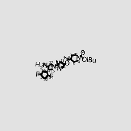 CC(C)COC(=O)N1CCC([C@H](C)Oc2cnc(N3C[C@H](C4=CC(F)CC=C4F)[C@@H](N)C3)nc2)CC1